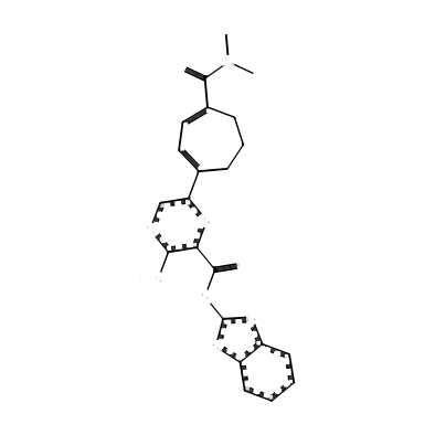 CN(C)C(=O)C1=CC=C(c2cnc(N)c(C(=O)Nc3nc4ccccc4[nH]3)n2)CCC1